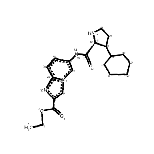 CCOC(=O)c1cn2cc(NC(=O)[C@H]3NCCC3C3CCCCC3)ccc2n1